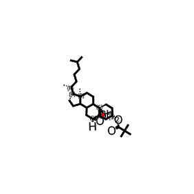 B[C@]12C[C@@H](OC(=O)C(C)(C)C)CC[C@]13C1CC[C@@]4(C)C(CC[C@@H]4[C@H](C)CCCC(C)C)C1C[C@H]2O[C@@H]3C